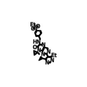 CCc1ncnc(C2CC2)c1-c1ncc2nc(NCc3ccc(S(=O)(=O)CC)cc3)c(=O)n(C3(C)CC3)c2n1